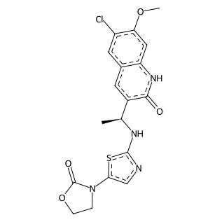 COc1cc2[nH]c(=O)c([C@H](C)Nc3ncc(N4CCOC4=O)s3)cc2cc1Cl